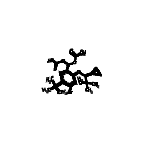 CC(C)(C)c1nc(N(OC(=O)O)OC(=O)O)c(OC(C2CC2)C(C)(C)C)nc1Br